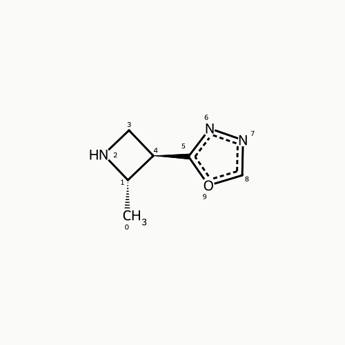 C[C@@H]1NC[C@H]1c1nnco1